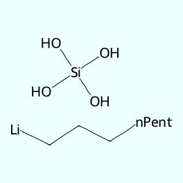 O[Si](O)(O)O.[Li][CH2]CCCCCCC